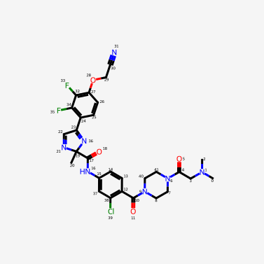 CN(C)CC(=O)N1CCN(C(=O)c2ccc(NC(=O)C3(C)N=CC(c4ccc(OCC#N)c(F)c4F)=N3)cc2Cl)CC1